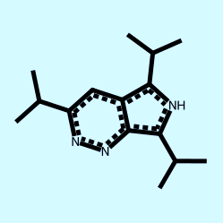 CC(C)c1cc2c(C(C)C)[nH]c(C(C)C)c2nn1